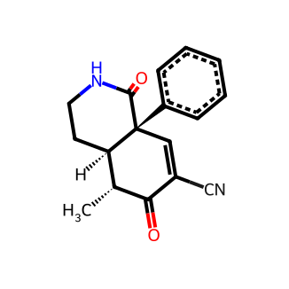 C[C@H]1C(=O)C(C#N)=C[C@@]2(c3ccccc3)C(=O)NCC[C@H]12